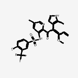 C=C/C(OC)=C(/C(=O)c1ncc(C)cc1NS(=O)(=O)c1ccc(Cl)c(C(F)(F)F)c1)c1cc[nH]c1C